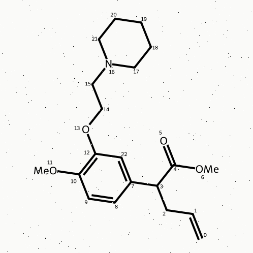 C=CCC(C(=O)OC)c1ccc(OC)c(OCCN2CCCCC2)c1